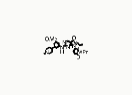 C=CCn1c(=O)c2cnc(Nc3cc(OC)cc(C4CCN(C)CC4)c3)nc2n1-c1ccc(=O)n(C(C)C)n1